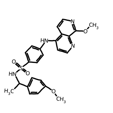 COc1ccc(C(C)NS(=O)(=O)c2ccc(Nc3ccnc4c(OC)nccc34)cc2)cc1